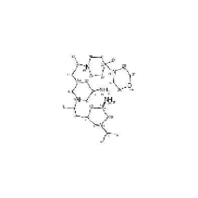 CC(C)N1CC(CC(C)N2CC(N)CC(CC(C)N3CCC(C)(N4CCOCC4)CC3)C2)C[C@@H](N)C1